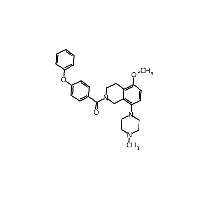 COc1ccc(N2CCN(C)CC2)c2c1CCN(C(=O)c1ccc(Oc3ccccc3)cc1)C2